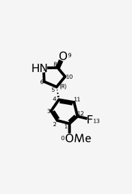 COc1ccc([C@@H]2CNC(=O)C2)cc1F